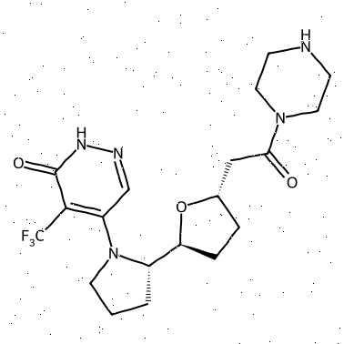 O=C(C[C@@H]1CC[C@@H]([C@@H]2CCCN2c2cn[nH]c(=O)c2C(F)(F)F)O1)N1CCNCC1